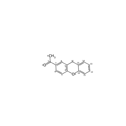 CC(=O)c1[c]c2c(cc1)Oc1ccccc1C2